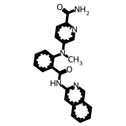 CN(c1ccc(C(N)=O)nc1)c1ccccc1C(=O)Nc1cc2ccccc2cn1